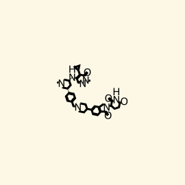 CN1C[C@H](Nc2cnn(C)c(=O)c2C2CC2)C[C@H](c2ccc(CN3CCC(c4ccc5c(c4)CN(C4CCC(=O)NC4=O)C5=O)CC3)cc2)C1